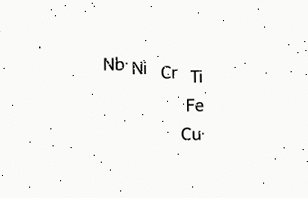 [Cr].[Cu].[Fe].[Nb].[Ni].[Ti]